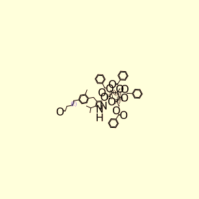 Cc1cc(/C=C/CC=O)ccc1Cc1c(O[C@@H]2O[C@H](COC(=O)c3ccccc3)[C@@H](OC(=O)c3ccccc3)[C@H](OC(=O)c3ccccc3)[C@H]2OC(=O)c2ccccc2)n[nH]c1C(C)C